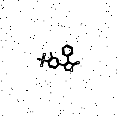 Cc1cc(C2=C(c3ccccc3)C(=O)OC2)ccc1S(C)(=O)=O